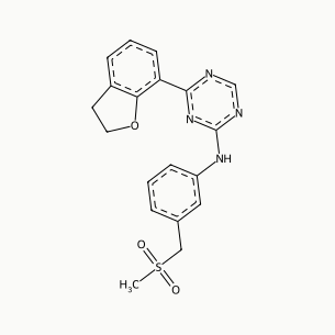 CS(=O)(=O)Cc1cccc(Nc2ncnc(-c3cccc4c3OCC4)n2)c1